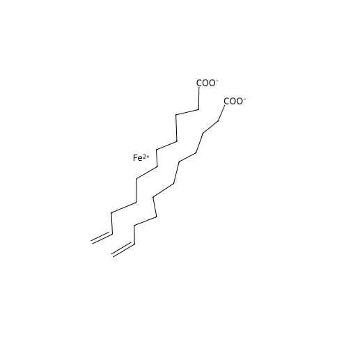 C=CCCCCCCCCC(=O)[O-].C=CCCCCCCCCC(=O)[O-].[Fe+2]